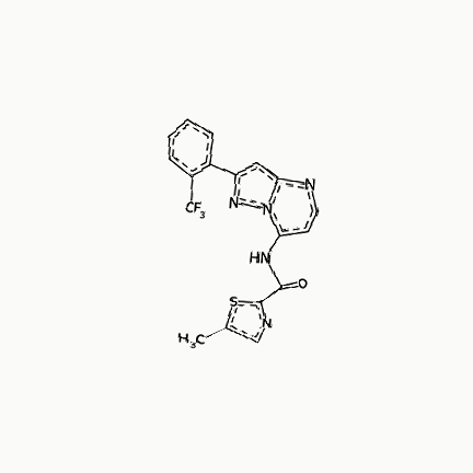 Cc1cnc(C(=O)Nc2ccnc3cc(-c4ccccc4C(F)(F)F)nn23)s1